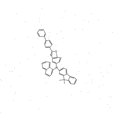 CC1(C)c2ccccc2-c2ccc(N(c3ccc4oc(-c5ccc(-c6ccccc6)cc5)nc4c3)c3cccc4ccccc34)cc21